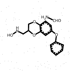 NC=O.ONCC1COc2ccc(Oc3ccccc3)cc2O1